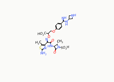 Cc1sc(N)nc1/C(=N/OC(COc1ccc(C(=N)NC2CNC2)cc1)C(=O)O)C(=O)N[C@@H]1C(=O)N(S(=O)(=O)O)[C@H]1C